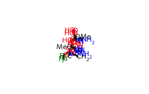 C=CCCC(=O)N(C)[C@@H](COCC(F)(F)C(F)F)C(=O)O[C@@H]([C@@H](O)n1cnc2c(N)ncnc21)[C@@H](COP(=O)(O)O[C@@H]([C@@H](O)n1ccc(N)nc1=O)[C@@H](COP(=O)(O)O)OC)OC